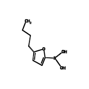 CCCCc1ccc(B(O)O)o1